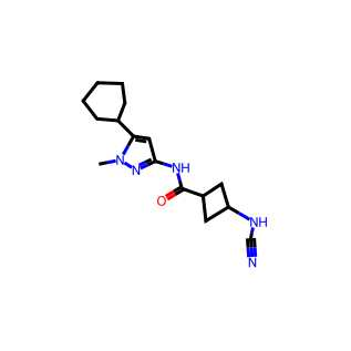 Cn1nc(NC(=O)C2CC(NC#N)C2)cc1C1CCCCC1